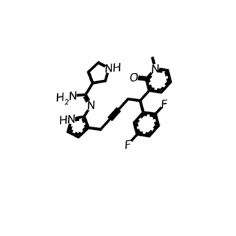 Cn1cccc(C(CC#CCc2cc[nH]c2/N=C(\N)C2CCNC2)c2cc(F)ccc2F)c1=O